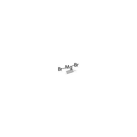 [Br][Mg][Br].[C]#C